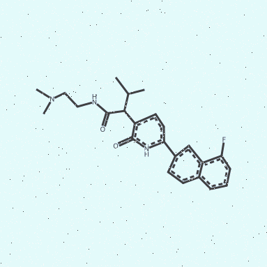 CC(C)C(C(=O)NCCN(C)C)c1ccc(-c2ccc3cccc(F)c3c2)[nH]c1=O